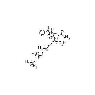 CC(C)=CCC/C(C)=C/CC/C(C)=C/CSC[C@H](NC(=O)C(CCC(N)=O)NC(=O)Nc1ccccc1)C(=O)O